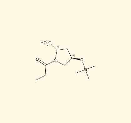 C[Si](C)(C)O[C@@H]1C[C@@H](C(=O)O)N(C(=O)CI)C1